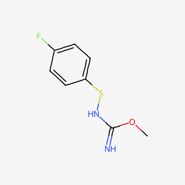 COC(=N)NSc1ccc(F)cc1